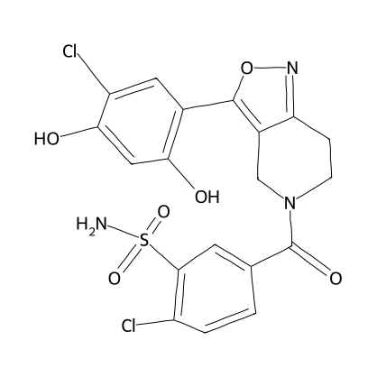 NS(=O)(=O)c1cc(C(=O)N2CCc3noc(-c4cc(Cl)c(O)cc4O)c3C2)ccc1Cl